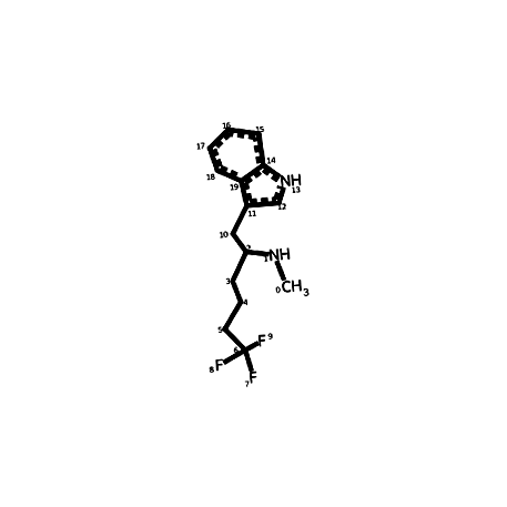 CNC(CCCC(F)(F)F)Cc1c[nH]c2ccccc12